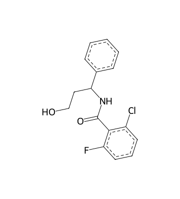 O=C(NC(CCO)c1ccccc1)c1c(F)cccc1Cl